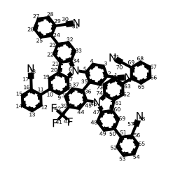 N#Cc1ccc(-n2c3ccc(-c4ccccc4C#N)cc3c3cc(-c4ccccc4C#N)ccc32)c(-c2ccc(C(F)(F)F)cc2-n2c3ccc(-c4ccccc4C#N)cc3c3cc(-c4ccccc4C#N)ccc32)c1